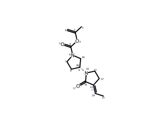 C=C(C)OC(=O)N1CC[C@@H](N2CC/C(=C\C)C2=O)C1